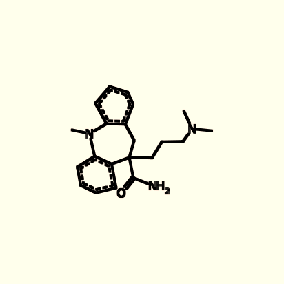 CN(C)CCCC1(C(N)=O)Cc2ccccc2N(C)c2ccccc21